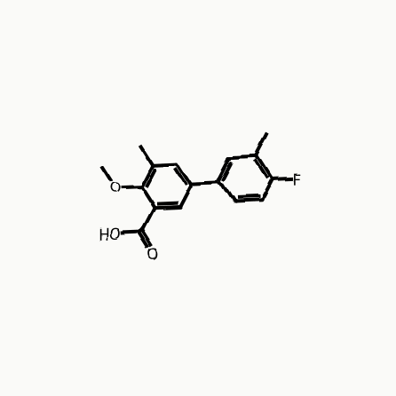 COc1c(C)cc(-c2ccc(F)c(C)c2)cc1C(=O)O